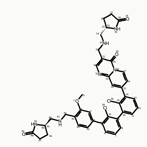 COc1cc(-c2cccc(-c3cccc(-c4ccn5c(=O)c(CNC[C@@H]6CCC(=O)N6)cnc5c4)c3Cl)c2Cl)ccc1CNC[C@H]1CCC(=O)N1